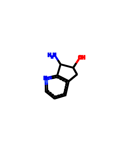 NC1c2ncccc2CC1O